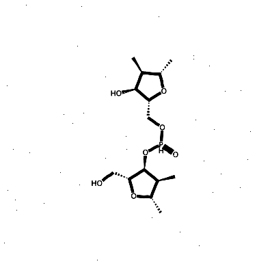 C[C@@H]1[C@H](O)[C@@H](CO[PH](=O)O[C@H]2[C@@H](C)[C@H](C)O[C@@H]2CO)O[C@H]1C